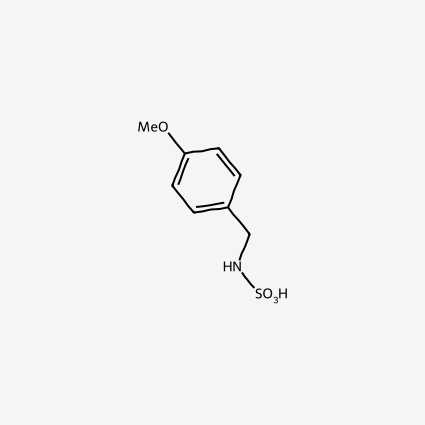 COc1ccc(CNS(=O)(=O)O)cc1